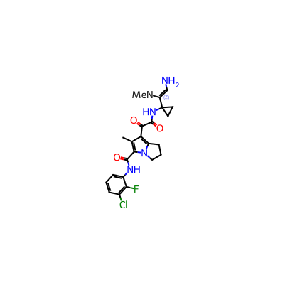 CN/C(=C\N)C1(NC(=O)C(=O)c2c(C)c(C(=O)Nc3cccc(Cl)c3F)n3c2CCC3)CC1